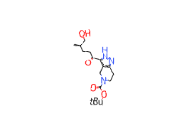 C=C(CO)CCC(=O)c1[nH]nc2c1CN(C(=O)OC(C)(C)C)CC2